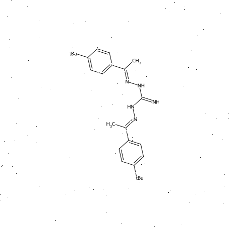 C/C(=N\NC(=N)N/N=C(\C)c1ccc(C(C)(C)C)cc1)c1ccc(C(C)(C)C)cc1